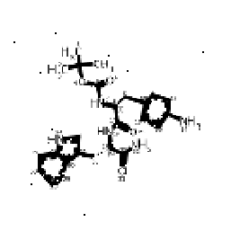 CC(C)(C)OC(=O)N[C@@H](Cc1ccc(N)cc1)C(=O)N[C@@H](Cc1c[nH]c2ccccc12)C(N)=O